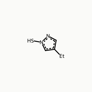 CCc1cnn(S)c1